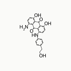 Nc1ccc(O)c2c1C(=O)c1c(Nc3ccc(CCO)cc3)ccc(O)c1C2=O